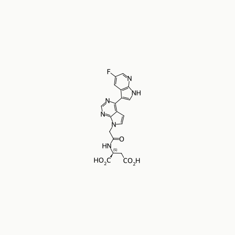 O=C(O)C[C@H](NC(=O)Cn1ccc2c(-c3c[nH]c4ncc(F)cc34)ncnc21)C(=O)O